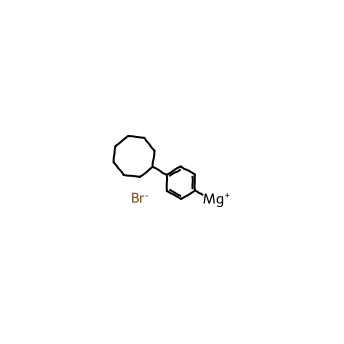 [Br-].[Mg+][c]1ccc(C2CCCCCCC2)cc1